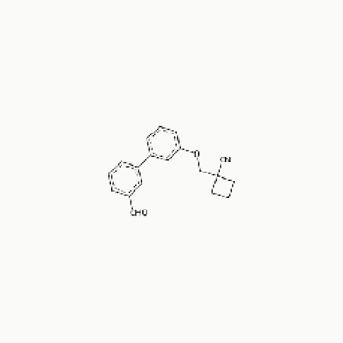 N#CC1(COc2cccc(-c3cccc(C=O)c3)c2)CCC1